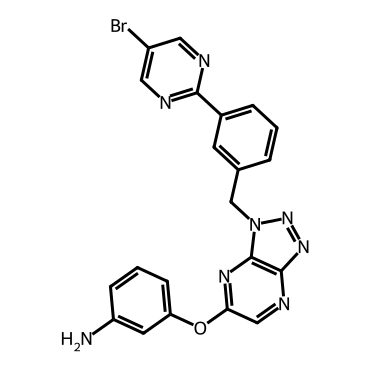 Nc1cccc(Oc2cnc3nnn(Cc4cccc(-c5ncc(Br)cn5)c4)c3n2)c1